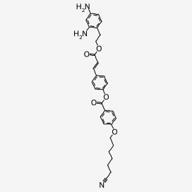 N#CCCCCCCOc1ccc(C(=O)Oc2ccc(C=CC(=O)OCCc3ccc(N)cc3N)cc2)cc1